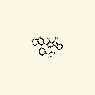 CC(C)N(C(=O)c1nn(-c2cnc3ccccc3c2)c(=O)c2c1c1ccccc1n2C)c1ccccc1